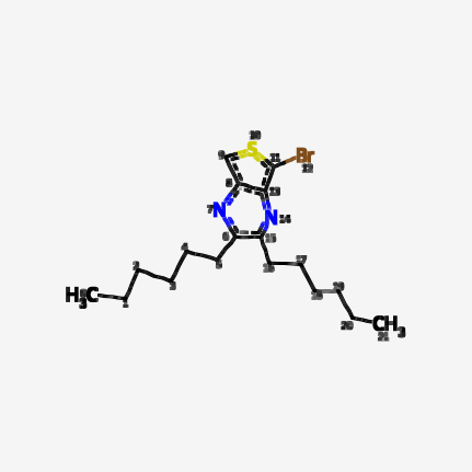 CCCCCCc1nc2csc(Br)c2nc1CCCCCC